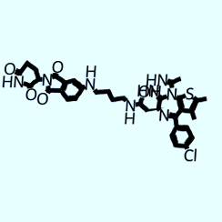 CC(=N)N1C(=N)[C@H](CC(O)NCCCCNc2ccc3c(c2)C(=O)N(C2CCC(=O)NC2=O)C3=O)N=C(c2ccc(Cl)cc2)c2c1sc(C)c2C